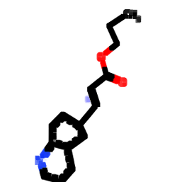 CCCOC(=O)/C=C/c1ccc2ncccc2c1